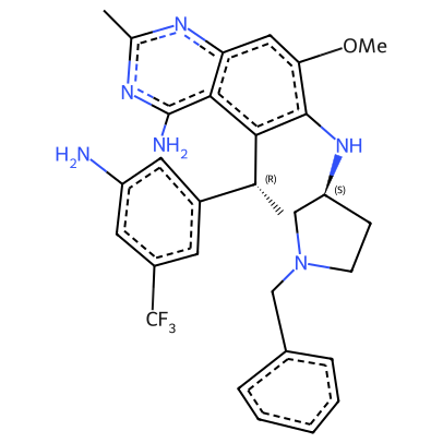 COc1cc2nc(C)nc(N)c2c([C@H](C)c2cc(N)cc(C(F)(F)F)c2)c1N[C@H]1CCN(Cc2ccccc2)C1